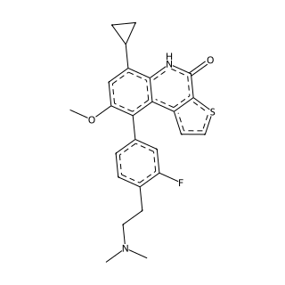 COc1cc(C2CC2)c2[nH]c(=O)c3sccc3c2c1-c1ccc(CCN(C)C)c(F)c1